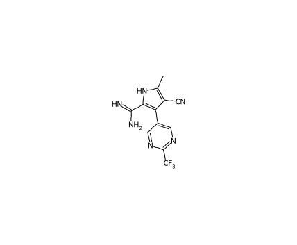 Cc1[nH]c(C(=N)N)c(-c2cnc(C(F)(F)F)nc2)c1C#N